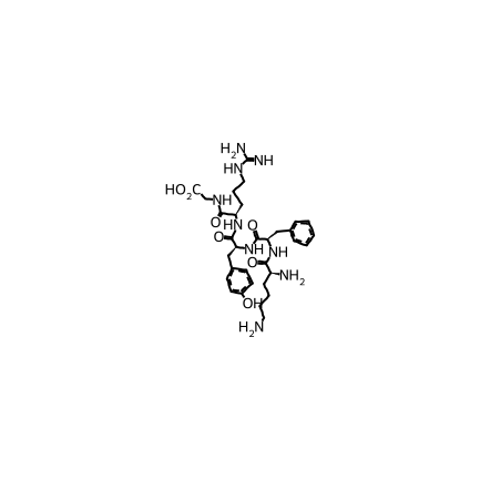 N=C(N)NCCC[C@@H](NC(=O)[C@H](Cc1ccc(O)cc1)NC(=O)[C@@H](Cc1ccccc1)NC(=O)[C@@H](N)CCCCN)C(=O)NCC(=O)O